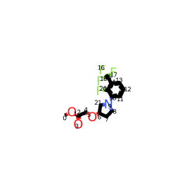 COC(=O)COC1CCN(c2cccc(C(F)(F)F)c2F)C1